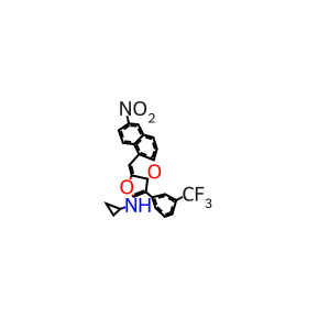 O=C1C(=Cc2cccc3cc([N+](=O)[O-])ccc23)OC(NC2CC2)=C1c1cccc(C(F)(F)F)c1